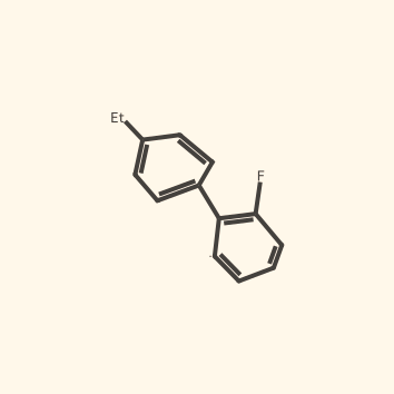 CCc1ccc(-c2[c]cccc2F)cc1